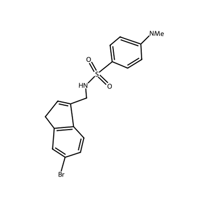 CNc1ccc(S(=O)(=O)NCC2=CCc3cc(Br)ccc32)cc1